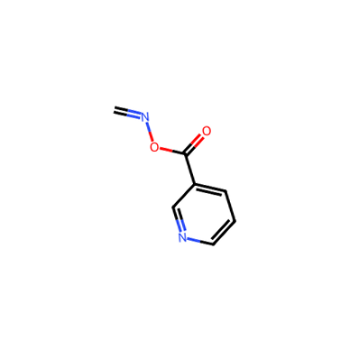 C=NOC(=O)c1cccnc1